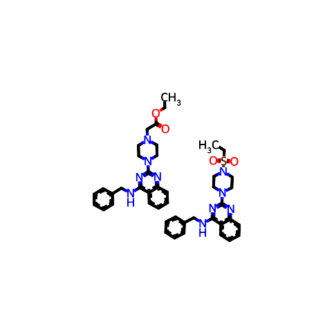 CCOC(=O)CN1CCN(c2nc(NCc3ccccc3)c3ccccc3n2)CC1.CCS(=O)(=O)N1CCN(c2nc(NCc3ccccc3)c3ccccc3n2)CC1